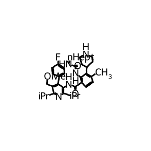 CCCCCCCNC(=O)Nc1c(C(=O)Nc2c(C(C)C)nc(C(C)C)c(COC)c2-c2ccc(F)cc2)ccc(C)c1C1CCNCC1